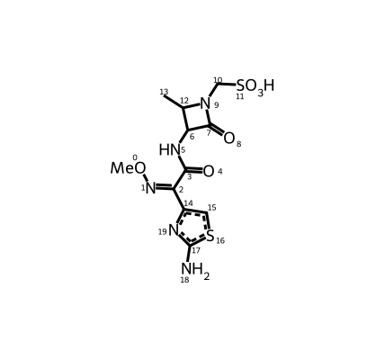 CON=C(C(=O)NC1C(=O)N(CS(=O)(=O)O)C1C)c1csc(N)n1